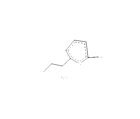 Cl.N[C@H](CO)c1cccc(Br)n1